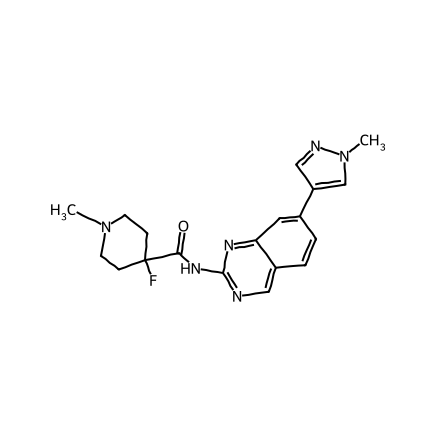 CN1CCC(F)(C(=O)Nc2ncc3ccc(-c4cnn(C)c4)cc3n2)CC1